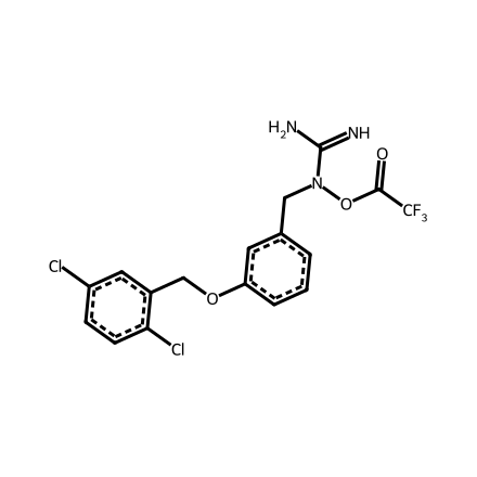 N=C(N)N(Cc1cccc(OCc2cc(Cl)ccc2Cl)c1)OC(=O)C(F)(F)F